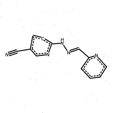 N#Cc1ccc(NN=Cc2ccccn2)nc1